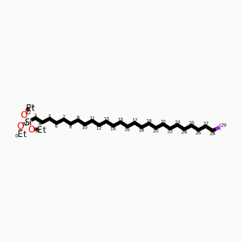 CCO[Si](CCCCCCCCCCCCCCCCCCCCCCCCCCI)(OCC)OCC